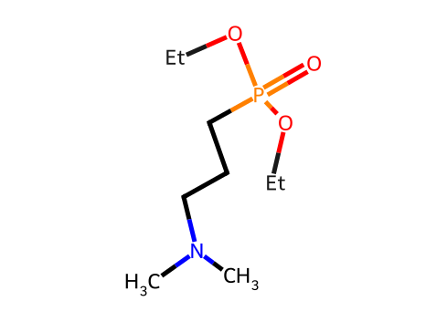 CCOP(=O)(CCCN(C)C)OCC